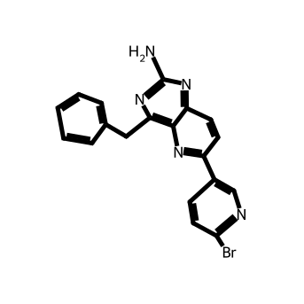 Nc1nc(Cc2ccccc2)c2nc(-c3ccc(Br)nc3)ccc2n1